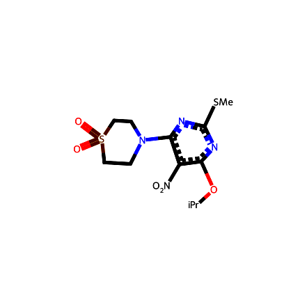 CSc1nc(OC(C)C)c([N+](=O)[O-])c(N2CCS(=O)(=O)CC2)n1